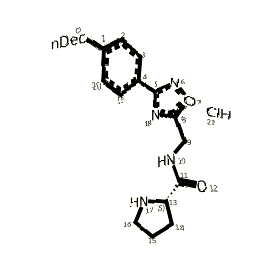 CCCCCCCCCCc1ccc(-c2noc(CNC(=O)[C@@H]3CCCN3)n2)cc1.Cl